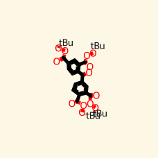 CC(C)(C)OOC(=O)c1ccc(C(=O)c2ccc(C(=O)OOC(C)(C)C)c(C(=O)OOC(C)(C)C)c2)c(C(=O)OOC(C)(C)C)c1